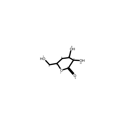 O=C1OC(CO)CC(O)C1O